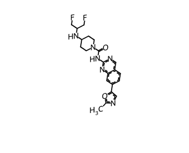 Cc1ncc(-c2ccc3cnc(NC(=O)N4CCC(NC(CF)CF)CC4)nc3c2)o1